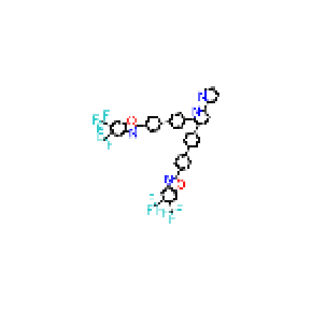 FC(F)(F)c1cc2nc(-c3ccc(-c4ccc(-c5ccc(-c6ccccn6)nc5-c5ccc(-c6ccc(-c7nc8cc(C(F)(F)F)c(C(F)(F)F)cc8o7)cc6)cc5)cc4)cc3)oc2cc1C(F)(F)F